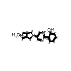 CN1C=C2CN(c3cnc(-c4ccccc4O)nc3)CC2C1